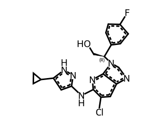 OC[C@@H](c1ccc(F)cc1)n1cnc2cc(Cl)c(Nc3cc(C4CC4)[nH]n3)nc21